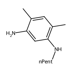 CCCCCNc1cc(N)c(C)cc1C